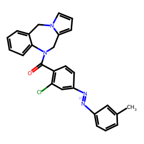 Cc1cccc(/N=N/c2ccc(C(=O)N3Cc4cccn4Cc4ccccc43)c(Cl)c2)c1